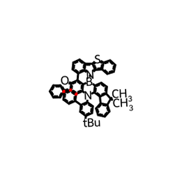 CC(C)(C)c1ccc(N2c3cc4c(oc5ccccc54)c4c3B(c3ccc5c(c32)-c2ccccc2C5(C)C)n2c3c-4cccc3c3sc4ccccc4c32)c(-c2ccccc2)c1